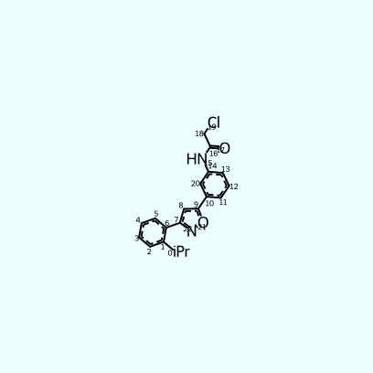 CC(C)c1ccccc1-c1cc(-c2cccc(NC(=O)CCl)c2)on1